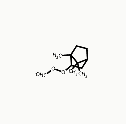 CC1(C)C2CCC1(C)C(OO[C]=O)C2